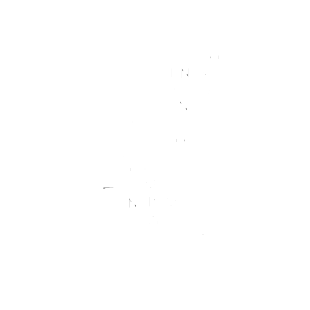 C#CC1(O)[C@@H](F)[C@@H](COP(=O)(N[C@@H](C)C(=O)OC(C)C)Oc2ccccc2)O[C@H]1n1ccc(=O)[nH]c1=S